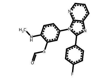 CNc1ccc(-n2c(-c3ccc(F)cc3)nc3cccnc32)cc1SC=O